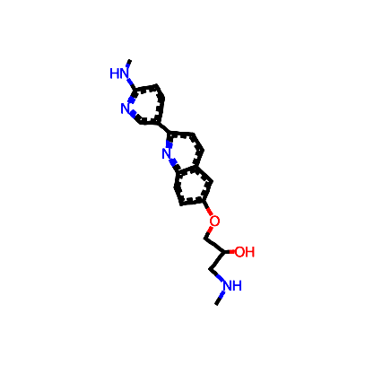 CNCC(O)COc1ccc2nc(-c3ccc(NC)nc3)ccc2c1